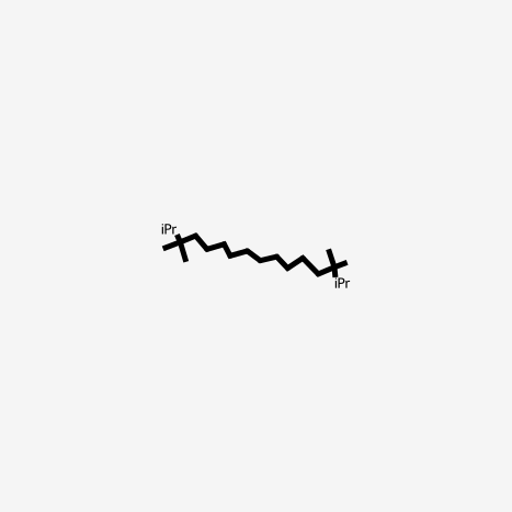 CC(C)C(C)(C)CCCCCCCCCCC(C)(C)C(C)C